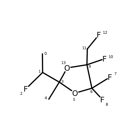 CC(F)C1(C)OC(F)(F)C(F)(CF)O1